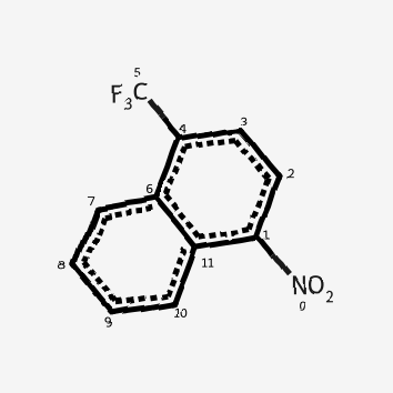 O=[N+]([O-])c1ccc(C(F)(F)F)c2ccccc12